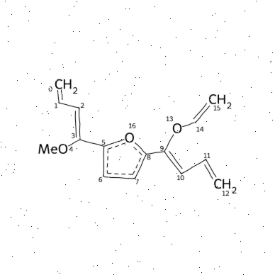 C=C/C=C(\OC)c1ccc(/C(=C/C=C)OC=C)o1